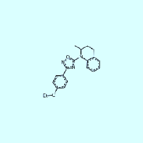 CCOc1ccc(-c2noc(N3c4ccccc4CCC3C)n2)cc1